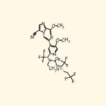 CCN(C(=O)N[C@@H](CCC(F)(F)F)C(F)(F)F)C(c1cc(-c2cn3c(C#N)cnc3c(OC)n2)c(OC)cn1)C(F)(F)F